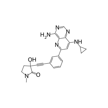 CN1CCC(O)(C#Cc2cccc(-c3cc(NC4CC4)c4ncnc(N)c4n3)c2)C1=O